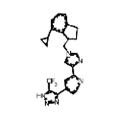 FC(F)(F)c1[nH]nnc1-c1ccnc(-c2cn(C[C@@H]3CCc4cccc(C5CC5)c43)cn2)c1